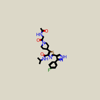 CC(=O)NCC(=O)N1CCC(c2sc(-c3c[nH]nc3-c3ccc(F)cc3)nc2C(=O)NC(C)C)CC1